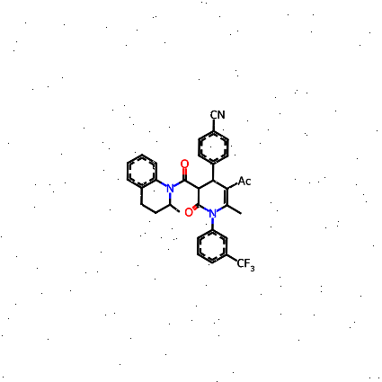 CC(=O)C1=C(C)N(c2cccc(C(F)(F)F)c2)C(=O)C(C(=O)N2c3ccccc3CCC2C)C1c1ccc(C#N)cc1